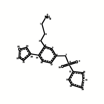 NCCCc1cc(CS(=O)(=O)c2ccccc2)ccc1-c1ccoc1